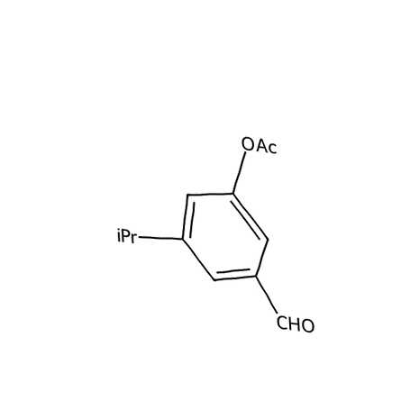 CC(=O)Oc1cc(C=O)cc(C(C)C)c1